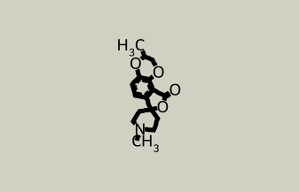 CC1COc2c(ccc3c2C(=O)OC32CCN(C)CC2)O1